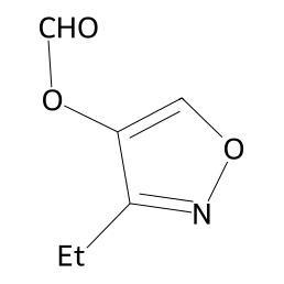 CCc1nocc1OC=O